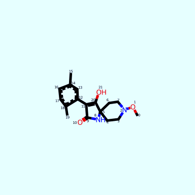 CON1CCC2(CC1)NC(=O)C(c1cc(C)ccc1C)=C2O